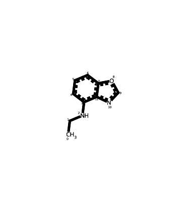 CCNc1cccc2ocnc12